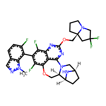 Cn1ncc2ccc(F)c(-c3c(F)c4c5c(nc(OC[C@@]67CCCN6CC(F)(F)C7)nc5c3F)N3C[C@H]5CC[C@H](N5)[C@H]3CO4)c21